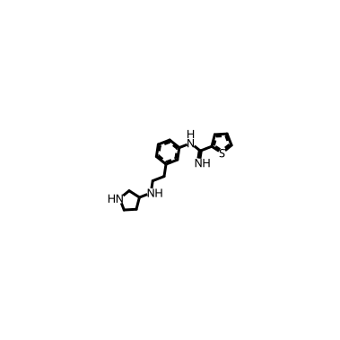 N=C(Nc1cccc(CCNC2CCNC2)c1)c1cccs1